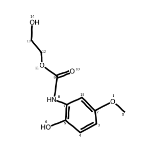 COc1ccc(O)c(NC(=O)OCCO)c1